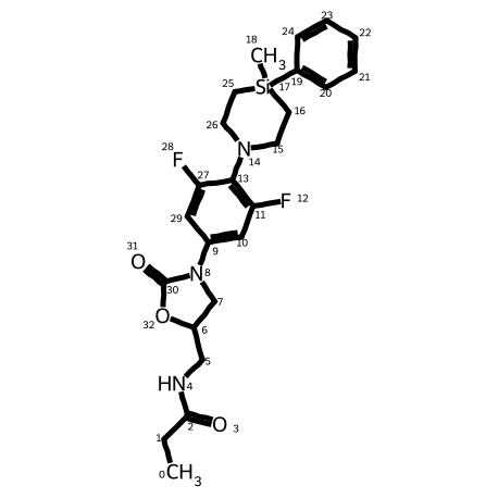 CCC(=O)NCC1CN(c2cc(F)c(N3CC[Si](C)(c4ccccc4)CC3)c(F)c2)C(=O)O1